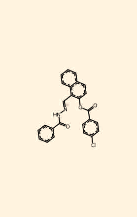 O=C(N/N=C/c1c(OC(=O)c2ccc(Cl)cc2)ccc2ccccc12)c1ccccc1